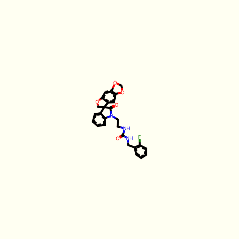 O=C(NCCN1C(=O)C2(COc3cc4c(cc32)OCO4)c2ccccc21)NCc1ccccc1F